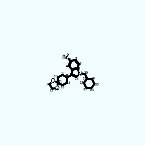 Brc1ccc2c(c1)c(C1CCC3(CC1)OCCO3)cn2CC1CCCCC1